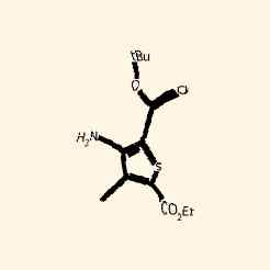 CCOC(=O)c1sc(C(=O)OC(C)(C)C)c(N)c1C